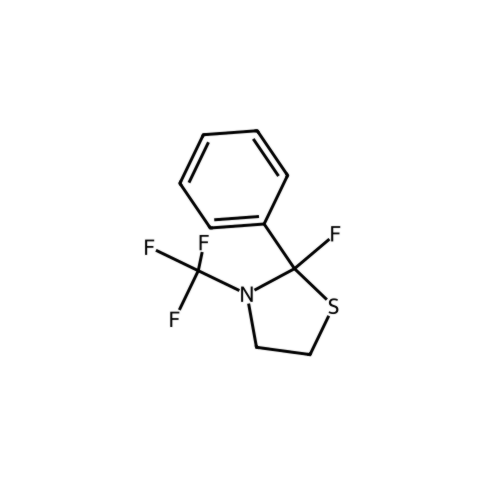 FC(F)(F)N1CCSC1(F)c1ccccc1